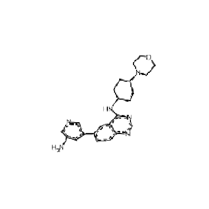 Nc1cncc(-c2ccc3ncnc(NC4CCC(N5CCOCC5)CC4)c3c2)c1